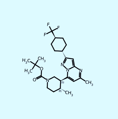 Cc1cc([C@@H]2CN(C(=O)OC(C)(C)C)CC[C@H]2C)n2nc([C@H]3CC[C@H](C(F)(F)F)CC3)cc2n1